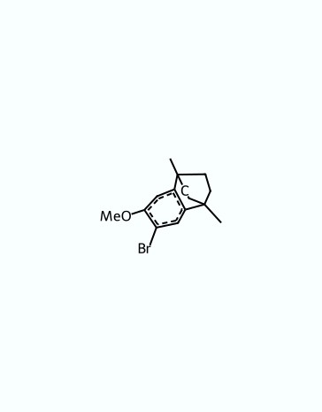 COc1cc2c(cc1Br)C1(C)CCC2(C)CC1